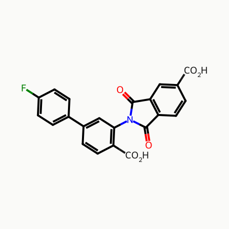 O=C(O)c1ccc2c(c1)C(=O)N(c1cc(-c3ccc(F)cc3)ccc1C(=O)O)C2=O